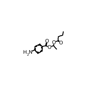 CCCC(=O)OC(C)OC(=O)c1ccc(N)cc1